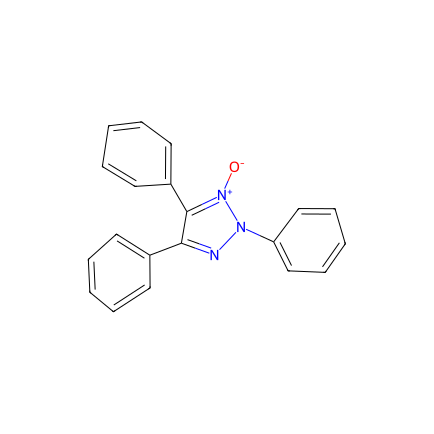 [O-][n+]1c(-c2ccccc2)c(-c2ccccc2)nn1-c1ccccc1